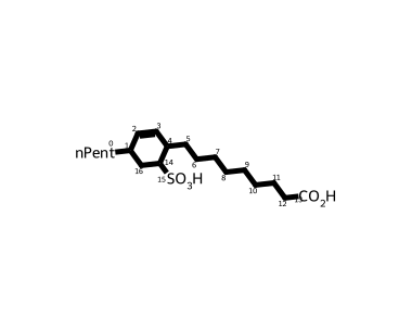 CCCCCC1C=CC(CCCCCCCCC(=O)O)C(S(=O)(=O)O)C1